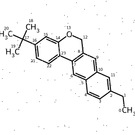 CCc1ccc2cc3c(cc2c1)COc1cc(C(C)(C)C)ccc1-3